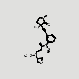 C=NN(C(=C)CCN(OC)C1COC1)c1cccc(C#C[C@]2(O)CCN(C)C2=O)c1